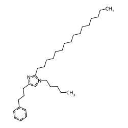 CCCCCCCCCCCCCCCCc1nc(CCCc2ccccc2)cn1CCCCC